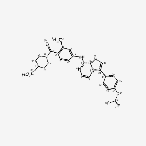 Cc1cc(Nc2nccn3c(-c4ccc(OC(F)F)cc4)cnc23)ccc1C(=O)N1CCC(C(=O)O)CC1